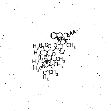 CC[C@H](C)[C@@H]([C@@H](CC(=O)N1CCC[C@H]1[C@H](OC)[C@@H](C)C(=O)N[C@H](CN=[N+]=[N-])Cc1ccccc1)OC)N(C)C(=O)[C@@H](NC(=O)[C@H](C(C)C)N(C)C(C)S)C(C)C